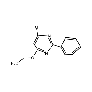 CCOc1cc(Cl)nc(-c2ccccc2)n1